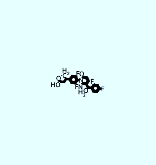 [CH2]C(CC(=O)O)c1cc(F)c(-n2c(N)c(C(=O)c3ccc(F)cc3F)ccc2=O)c(F)c1